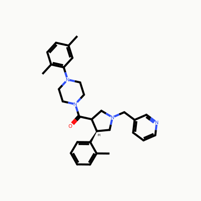 Cc1ccc(C)c(N2CCN(C(=O)C3CN(Cc4cccnc4)C[C@H]3c3ccccc3C)CC2)c1